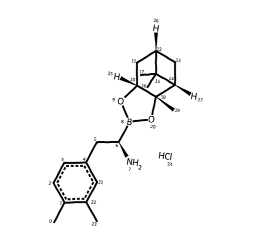 Cc1ccc(C[C@H](N)B2O[C@@H]3C[C@@H]4C[C@@H](C4(C)C)[C@]3(C)O2)cc1C.Cl